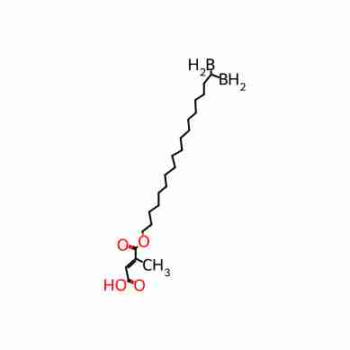 BC(B)CCCCCCCCCCCCCCCCCOC(=O)/C(C)=C/C(=O)O